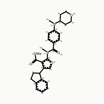 COC(=O)c1c(C2CCc3ccccc32)csc1N(I)C(=O)c1ccc(N(I)C2CCOCC2)cc1